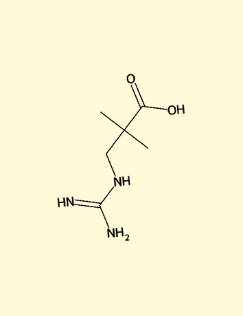 CC(C)(CNC(=N)N)C(=O)O